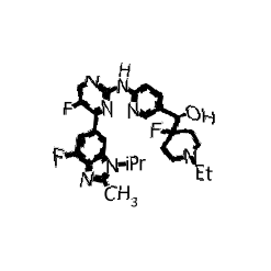 CCN1CCC(F)([C@H](O)c2ccc(Nc3ncc(F)c(-c4cc(F)c5nc(C)n(C(C)C)c5c4)n3)nc2)CC1